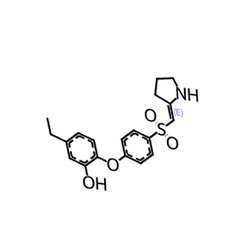 CCc1ccc(Oc2ccc(S(=O)(=O)/C=C3\CCCN3)cc2)c(O)c1